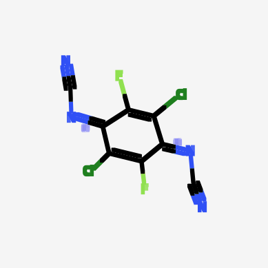 N#C/N=C1C(F)=C(Cl)/C(=N/C#N)C(F)=C\1Cl